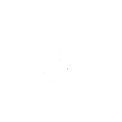 CC1(C)Oc2ccc(F)cc2C(N=C(NC#N)c2cccnc2)C1O